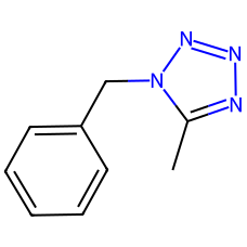 Cc1nnnn1Cc1ccccc1